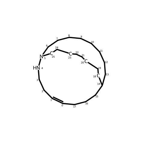 C1=CCCNN2CCCCCCCCC(CCC1)CCCCCCCC2